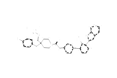 CS(=O)(=O)NCC1(Cc2ccc(F)cc2)CCN(C(=O)Cc2ccc(-c3cccc(-c4cc5ccncc5[nH]4)c3O)cc2)CC1